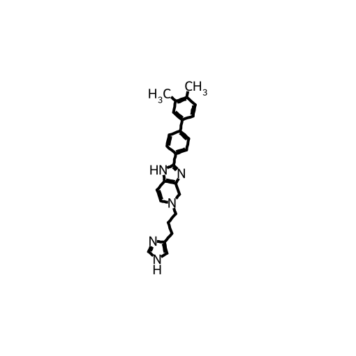 Cc1ccc(-c2ccc(-c3nc4c([nH]3)C=CN(CCCc3c[nH]cn3)C4)cc2)cc1C